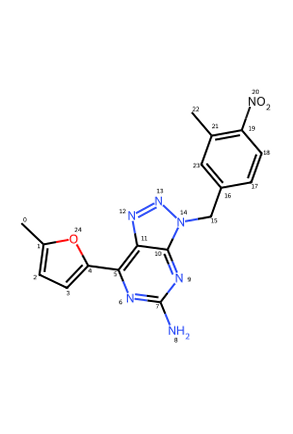 Cc1ccc(-c2nc(N)nc3c2nnn3Cc2ccc([N+](=O)[O-])c(C)c2)o1